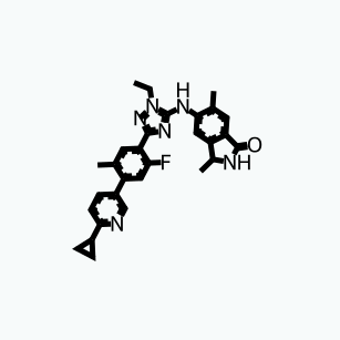 CCn1nc(-c2cc(C)c(-c3ccc(C4CC4)nc3)cc2F)nc1Nc1cc2c(cc1C)C(=O)NC2C